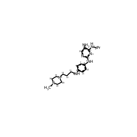 CC(C)Nc1nc(Nc2ccc(NCCCN3CCN(C)CC3)cc2)ncc1N